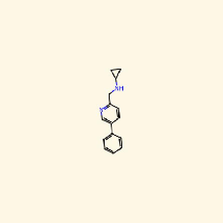 c1ccc(-c2ccc(CNC3CC3)nc2)cc1